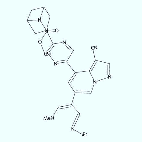 CN/C=C(\C=N\C(C)C)c1cc(-c2cnc(N3CC4CC(C3)N4C(=O)OC(C)(C)C)cn2)c2c(C#N)cnn2c1